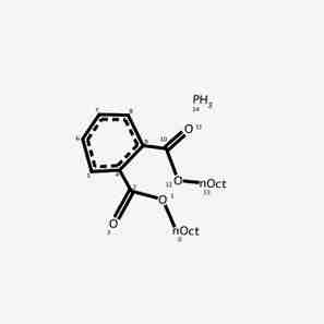 CCCCCCCCOC(=O)c1ccccc1C(=O)OCCCCCCCC.P